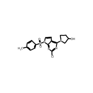 Cc1ccc(S(=O)(=O)n2ccc3c(N4CCC(O)C4)nc(Cl)nc32)cc1